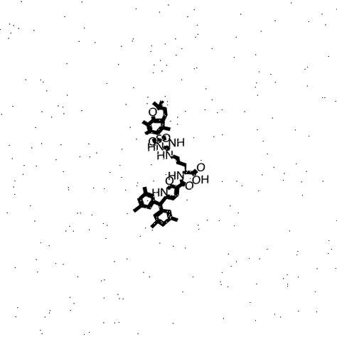 Cc1cc(C)cc(C(c2cc(C)cc(C)c2)c2ccc(C(=O)N[C@@H](CCCNC(=N)NS(=O)(=O)c3c(C)c(C)c4c(c3C)CCC(C)(C)O4)C(=O)O)c(=O)[nH]2)c1